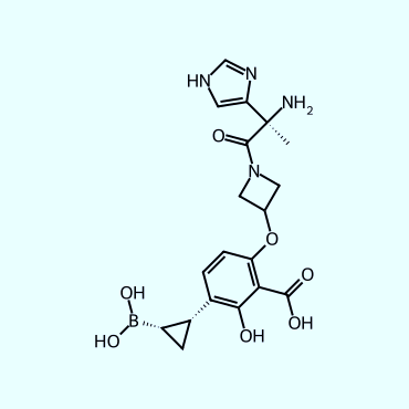 C[C@](N)(C(=O)N1CC(Oc2ccc([C@@H]3C[C@@H]3B(O)O)c(O)c2C(=O)O)C1)c1c[nH]cn1